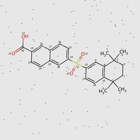 CC1(C)CCC(C)(C)c2cc(S(=O)(=O)c3ccc4cc(C(=O)O)ccc4c3)ccc21